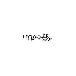 Oc1ccc(OCC2CC=C(c3ccc(-c4ccc(O)c(F)c4F)c(F)c3)CC2)c(F)c1F